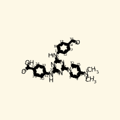 CN(C)c1cc[n+](-c2nc(Nc3ccc(C=O)cc3)nc(Nc3ccc(C(=O)O)cc3)n2)cc1